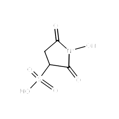 O=C1CC(S(=O)(=O)O)C(=O)[N+]1O